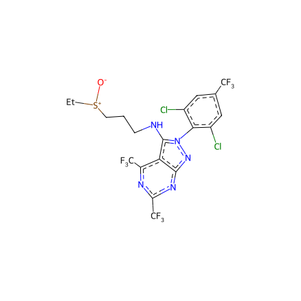 CC[S+]([O-])CCCNc1c2c(C(F)(F)F)nc(C(F)(F)F)nc2nn1-c1c(Cl)cc(C(F)(F)F)cc1Cl